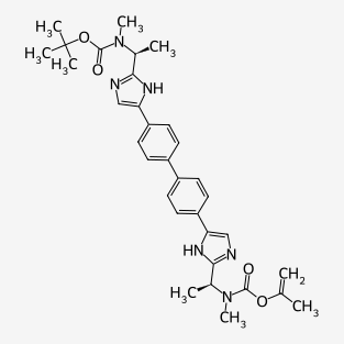 C=C(C)OC(=O)N(C)[C@@H](C)c1ncc(-c2ccc(-c3ccc(-c4cnc([C@H](C)N(C)C(=O)OC(C)(C)C)[nH]4)cc3)cc2)[nH]1